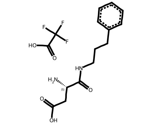 N[C@@H](CC(=O)O)C(=O)NCCCc1ccccc1.O=C(O)C(F)(F)F